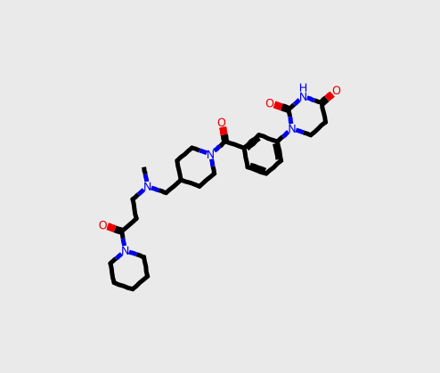 CN(CCC(=O)N1CCCCC1)CC1CCN(C(=O)c2cccc(N3CCC(=O)NC3=O)c2)CC1